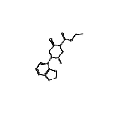 CCOC(=O)C1CC(C)C(c2cccc3c2CCC3)CC1=O